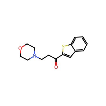 O=C(CCN1CCOCC1)c1cc2ccccc2s1